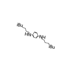 CCC(C)CCCCNc1ccc(NCCCCC(C)CC)cc1